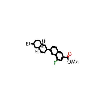 CCC1CC[C@@H]2CC(c3ccc4cc(C(=O)OC)cc(F)c4c3)CC[C@H]2C1